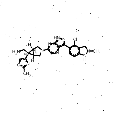 Cc1nc([C@]2(CN)[C@@H]3CN(c4cnc5c(-c6ccc7c(c6Cl)CN(C)N7)n[nH]c5n4)C[C@@H]32)co1